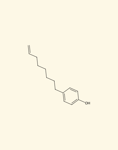 C=CCCCCCCc1ccc(O)cc1